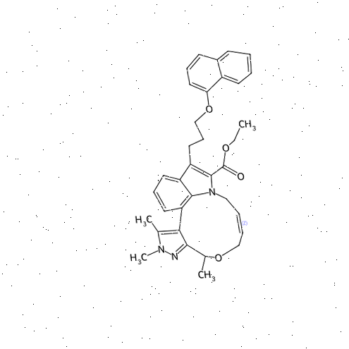 CCOC(=O)c1c(CCCOc2cccc3ccccc23)c2cccc3c2n1C/C=C\COC(C)c1nn(C)c(C)c1-3